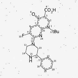 CC(C)(C)n1cc(C(=O)O)c(=O)c2cc(F)c(N3CCNC(c4ccccc4)C3)nc21